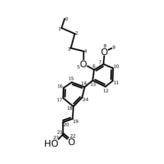 CCCCCOc1c(OC)cccc1-c1cccc(C=CC(=O)O)c1